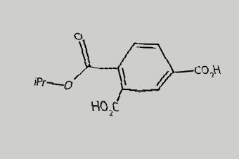 CC(C)OC(=O)c1ccc(C(=O)O)cc1C(=O)O